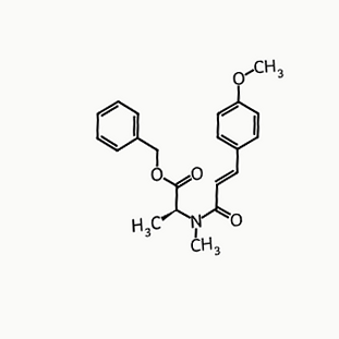 COc1ccc(C=CC(=O)N(C)[C@@H](C)C(=O)OCc2ccccc2)cc1